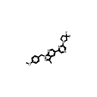 COc1ccc(Cn2nc(C)c3cc(-c4cncc(N5CCC(F)(F)C5)n4)cnc32)cc1